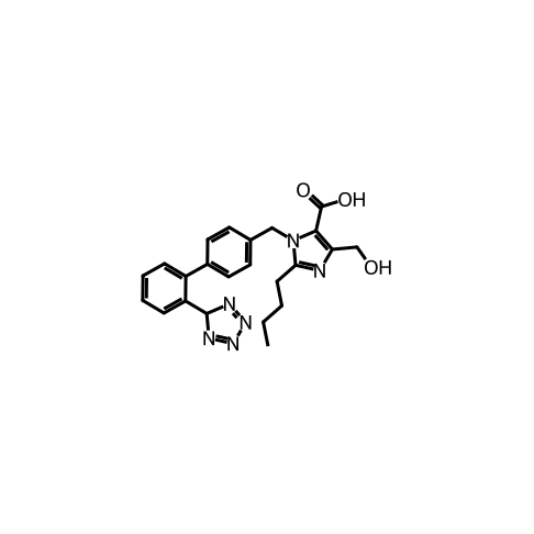 CCCCc1nc(CO)c(C(=O)O)n1Cc1ccc(-c2ccccc2C2N=NN=N2)cc1